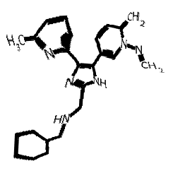 C=NN1C=C(c2[nH]c(CNCC3CCCCC3)nc2-c2cccc(C)n2)C=CC1=C